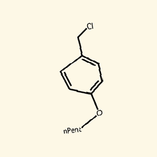 CCCCCOc1ccc(CCl)cc1